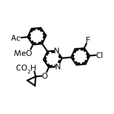 COc1c(C(C)=O)cccc1-c1cc(OC2(C(=O)O)CC2)nc(-c2ccc(Cl)c(F)c2)n1